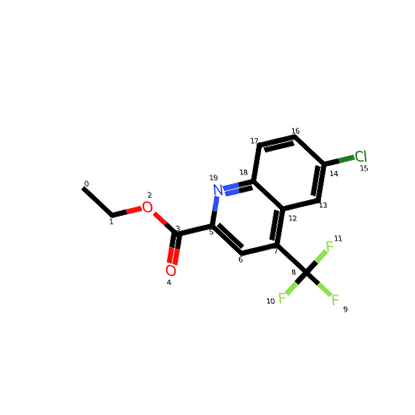 CCOC(=O)c1cc(C(F)(F)F)c2cc(Cl)ccc2n1